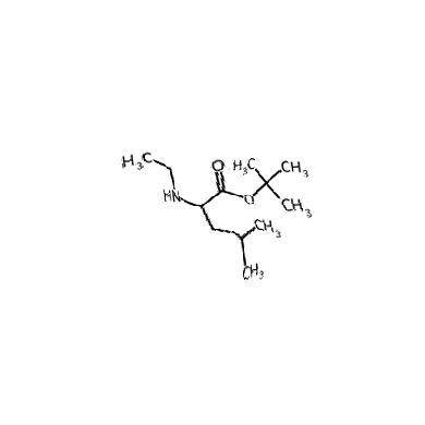 CCNC(CC(C)C)C(=O)OC(C)(C)C